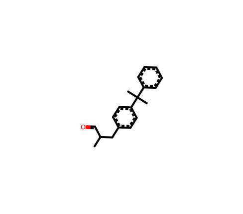 CC(C=O)Cc1ccc(C(C)(C)c2ccccc2)cc1